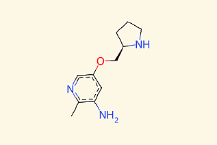 Cc1ncc(OC[C@H]2CCCN2)cc1N